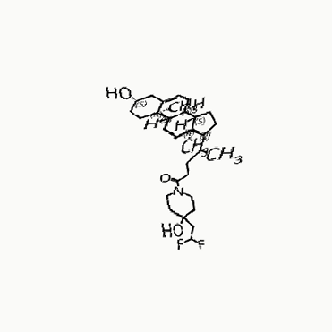 CC(CCC(=O)N1CCC(O)(CC(F)F)CC1)[C@H]1CC[C@H]2[C@@H]3CC=C4C[C@@H](O)CC[C@]4(C)[C@H]3CC[C@]12C